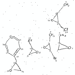 CC1CO1.CC1OC1Br.CC1OC1Cl.CCC1CO1.c1ccc(C2CO2)cc1